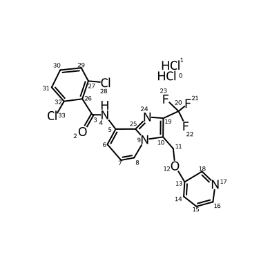 Cl.Cl.O=C(Nc1cccn2c(COc3cccnc3)c(C(F)(F)F)nc12)c1c(Cl)cccc1Cl